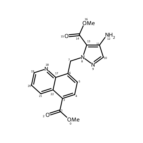 COC(=O)c1ccc(Cn2ncc(N)c2C(=O)OC)c2ncccc12